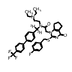 [2H]C([2H])(c1ccc(-c2ccc(C(F)(F)F)cc2)cc1)N(CCN(CC)CC)C(=O)Cn1c(SCc2ccc(F)cc2)nc(=O)c2c1CCC2